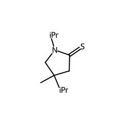 CC(C)N1CC(C)(C(C)C)CC1=S